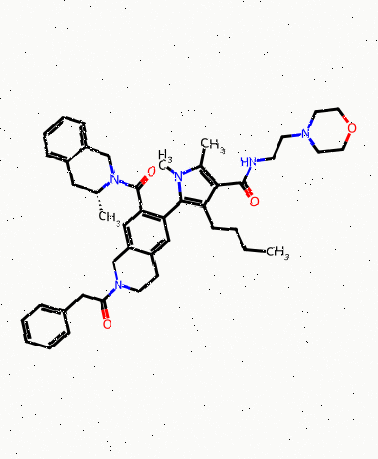 CCCCc1c(C(=O)NCCN2CCOCC2)c(C)n(C)c1-c1cc2c(cc1C(=O)N1Cc3ccccc3C[C@H]1C)CN(C(=O)Cc1ccccc1)CC2